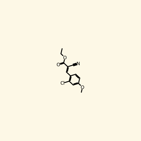 CCOC(=O)/C(C#N)=C/c1ccc(OC)cc1Cl